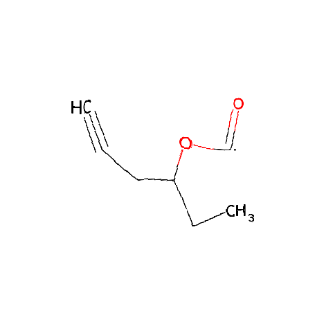 C#CCC(CC)O[C]=O